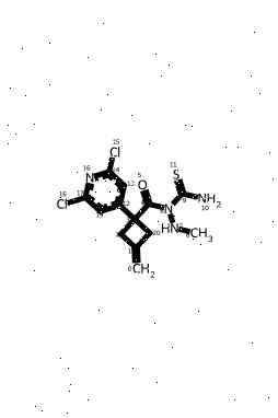 C=C1CC(C(=O)N(NC)C(N)=S)(c2cc(Cl)nc(Cl)c2)C1